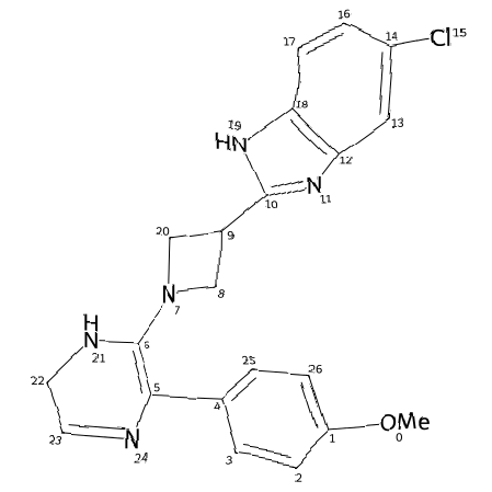 COc1ccc(C2=C(N3CC(c4nc5cc(Cl)ccc5[nH]4)C3)NCC=N2)cc1